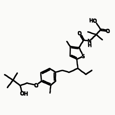 CCC(CCc1ccc(OCC(O)C(C)(C)C)c(C)c1)c1cc(C)c(C(=O)NC(C)(C)C(=O)O)s1